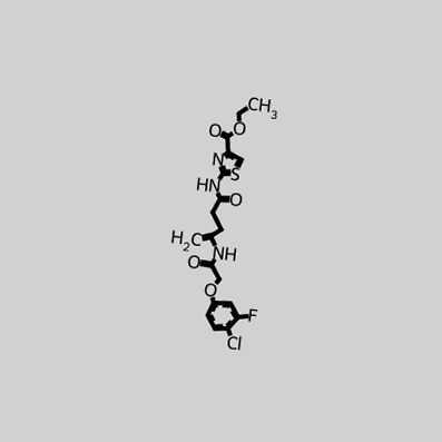 C=C(CCC(=O)Nc1nc(C(=O)OCC)cs1)NC(=O)COc1ccc(Cl)c(F)c1